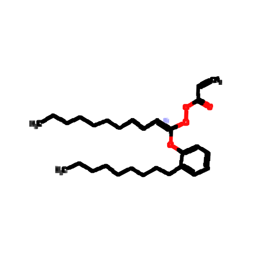 C=CC(=O)OO/C(=C/CCCCCCCCC)Oc1ccccc1CCCCCCCCC